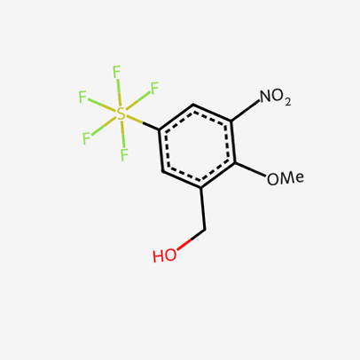 COc1c(CO)cc(S(F)(F)(F)(F)F)cc1[N+](=O)[O-]